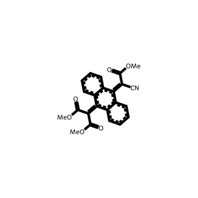 COC(=O)C(C#N)=c1c2ccccc2c(=C(C(=O)OC)C(=O)OC)c2ccccc12